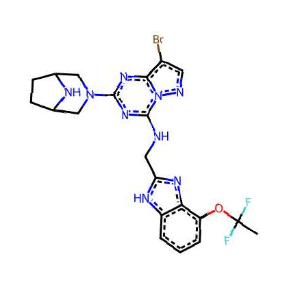 CC(F)(F)Oc1cccc2[nH]c(CNc3nc(N4CC5CCC(C4)N5)nc4c(Br)cnn34)nc12